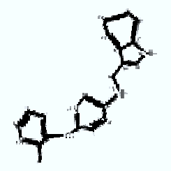 Cc1ncccc1Oc1ccc(NCc2c[nH]c3ccccc23)cn1